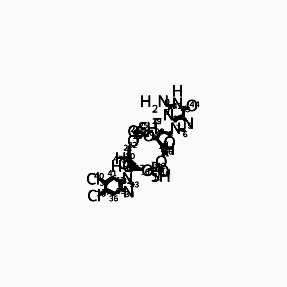 Nc1nc2c(ncn2[C@@H]2O[C@@H]3COP(=O)(S)OC4C(O)[C@@H](COP(=O)(S)OC3C2F)O[C@H]4n2cnc3cc(Cl)c(Cl)cc32)c(=O)[nH]1